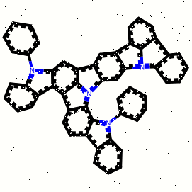 c1ccc(-n2c3ccccc3c3c4c5ccc6c7ccccc7n(-c7ccccc7)c6c5n5c6cc7c(cc6c(cc32)c45)c2cccc3c4ccccc4n7c32)cc1